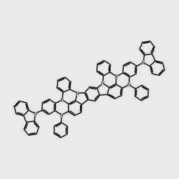 c1ccc(N2c3cc(-n4c5ccccc5c5ccccc54)ccc3B3c4ccccc4-n4c5cc6c(cc5c5ccc2c3c54)c2ccc3c4c2n6-c2ccccc2B4c2ccc(-n4c5ccccc5c5ccccc54)cc2N3c2ccccc2)cc1